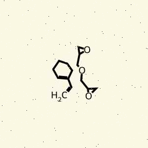 C(OCC1CO1)C1CO1.C=CC1=CCCCC1